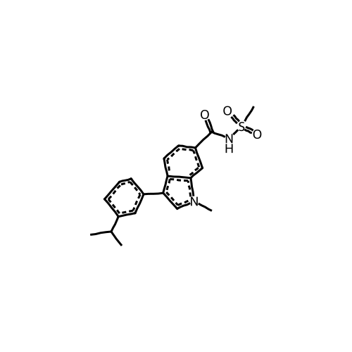 CC(C)c1cccc(-c2cn(C)c3cc(C(=O)NS(C)(=O)=O)ccc23)c1